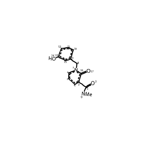 CNC(=O)c1cccn(Cc2cccc(O)c2)c1=O